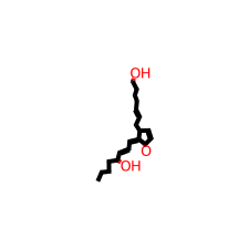 CCCCC(O)C=CC=C1C(=O)C=CC1CC=CCCCCO